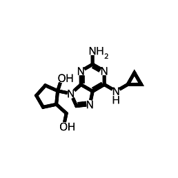 Nc1nc(NC2CC2)c2ncn(C3(O)CCCC3CO)c2n1